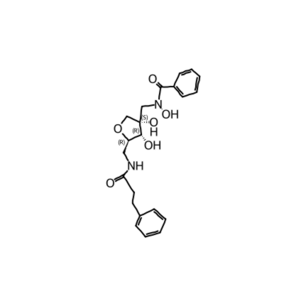 O=C(CCc1ccccc1)NC[C@H]1OC[C@@](O)(CN(O)C(=O)c2ccccc2)[C@@H]1O